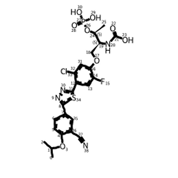 CC(C)Oc1ccc(-c2nnc(-c3cc(F)c(OC[C@H](NC(=O)O)[C@H](C)OP(=O)(O)O)cc3Cl)s2)cc1C#N